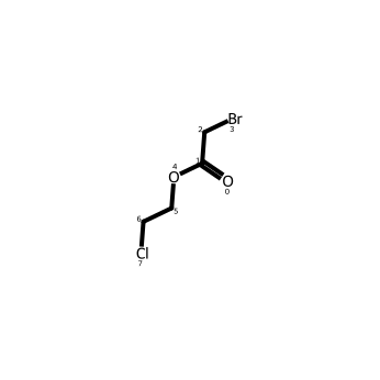 O=C(CBr)OCCCl